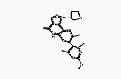 COc1cc(C)c(-c2cc3[nH]c(=O)c4cnn([C@H]5CCOC5)c4c3cc2F)c(C)n1